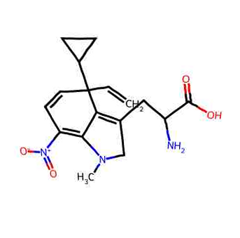 C=CC1(C2CC2)C=CC([N+](=O)[O-])=C2C1=C(CC(N)C(=O)O)CN2C